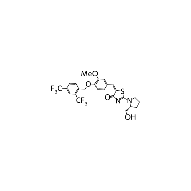 COc1cc(/C=C2/SC(N3CCC[C@H]3CO)=NC2=O)ccc1OCc1ccc(C(F)(F)F)cc1C(F)(F)F